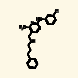 FC(F)(F)c1nc(Nc2cccc(Cl)c2)ncc1CNCCCc1ccccc1